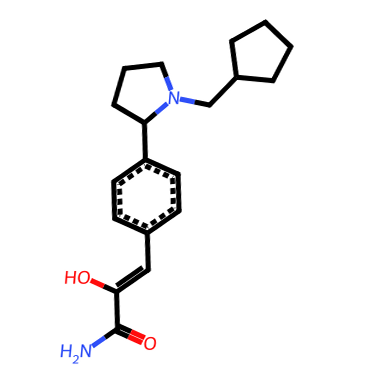 NC(=O)C(O)=Cc1ccc(C2CCCN2CC2CCCC2)cc1